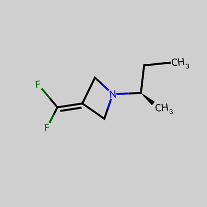 CC[C@@H](C)N1CC(=C(F)F)C1